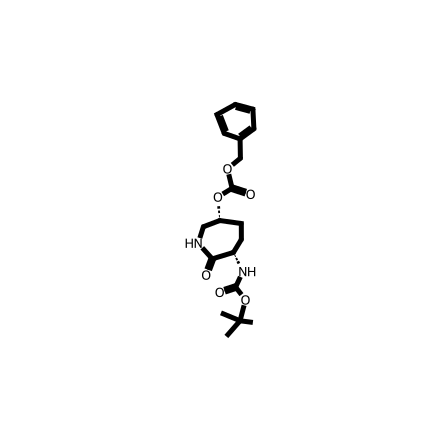 CC(C)(C)OC(=O)N[C@H]1CC[C@@H](OC(=O)OCc2ccccc2)CNC1=O